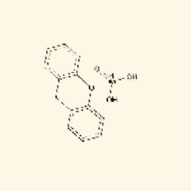 O=[AsH](O)O.c1ccc2c(c1)Cc1ccccc1O2